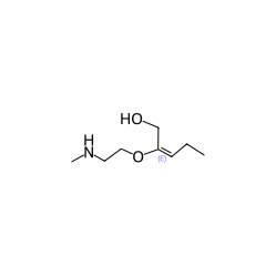 CC/C=C(\CO)OCCNC